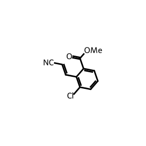 COC(=O)c1cccc(Cl)c1C=CC#N